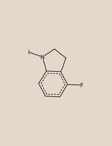 Fc1cccc2c1CCN2I